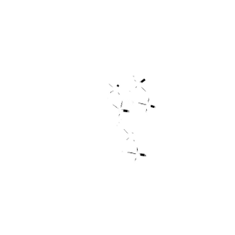 O=P(O)(O)OP(=O)(O)O.O=P(O)(O)OP(=O)(O)O.O=P(O)(O)OP(=O)(O)O